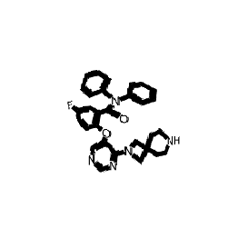 O=C(c1cc(F)ccc1Oc1cncnc1N1CC2(CCNCC2)C1)N(c1ccccc1)c1ccccc1